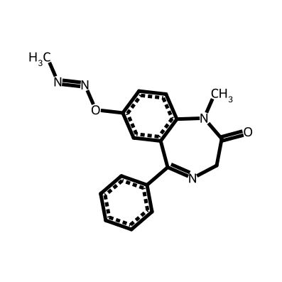 CN=NOc1ccc2c(c1)C(c1ccccc1)=NCC(=O)N2C